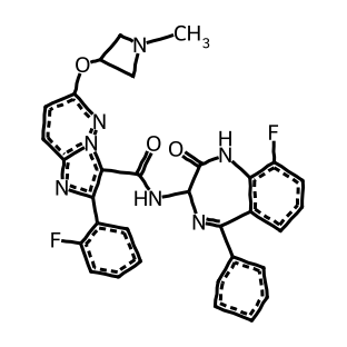 CN1CC(Oc2ccc3nc(-c4ccccc4F)c(C(=O)NC4N=C(c5ccccc5)c5cccc(F)c5NC4=O)n3n2)C1